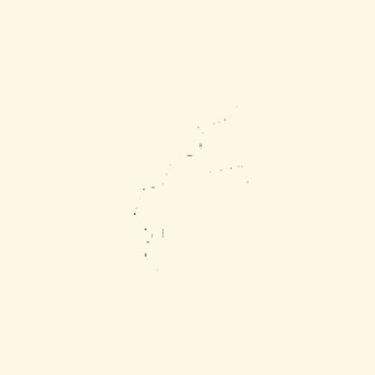 CCNCC(C)C[SiH2]C(OCC)OCC